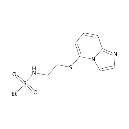 CCS(=O)(=O)NCCSc1cccc2nccn12